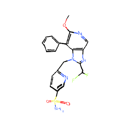 COc1ncc2nc(C(F)F)n(Cc3ccc(S(N)(=O)=O)cn3)c2c1-c1ccccc1